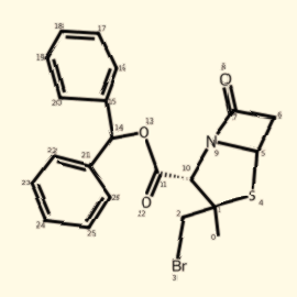 CC1(CBr)SC2CC(=O)N2[C@H]1C(=O)OC(c1ccccc1)c1ccccc1